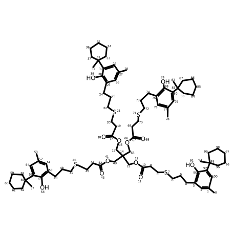 Cc1cc(CCCSCCC(=O)OCC(COC(=O)CCSCCCc2cc(C)cc(C3(C)CCCCC3)c2O)(COC(=O)CCSCCCc2cc(C)cc(C3(C)CCCCC3)c2O)COC(=O)CCSCCCc2cc(C)cc(C3(C)CCCCC3)c2O)c(O)c(C2(C)CCCCC2)c1